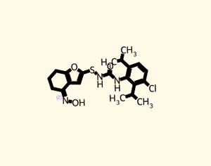 CC(C)c1ccc(Cl)c(C(C)C)c1NC(=O)NSc1cc2c(o1)CCC/C2=N/O